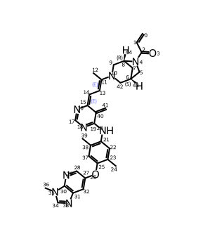 C=CC(=O)N1C[C@H]2C[C@@H]1CN(/C(C)=C/C=c1/ncnc(Nc3cc(C)c(Oc4cnc5c(c4)ncn5C)cc3C)c1=C)C2